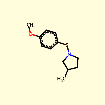 COc1ccc(SN2CCC(C)C2)cc1